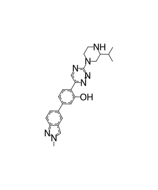 CC(C)C1CN(c2ncc(-c3ccc(-c4ccc5nn(C)cc5c4)cc3O)nn2)CCN1